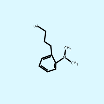 CN(C)c1ccccc1CC[CH2][Al]